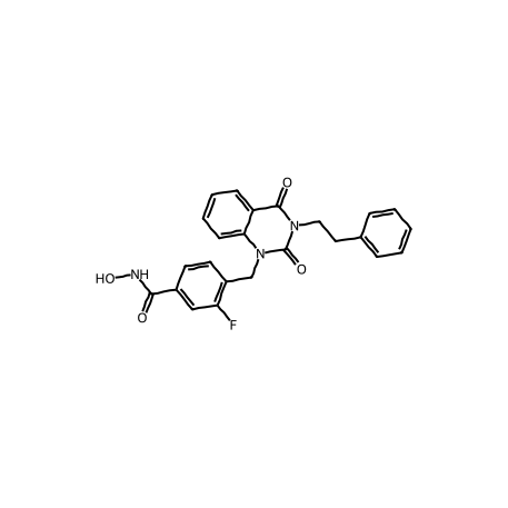 O=C(NO)c1ccc(Cn2c(=O)n(CCc3ccccc3)c(=O)c3ccccc32)c(F)c1